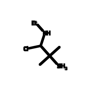 CCNC(Cl)C(C)(C)[SiH3]